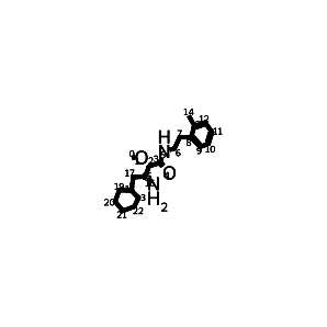 COC(C(=O)NCCc1ccccc1C)[C@H](N)CC1CCCCC1